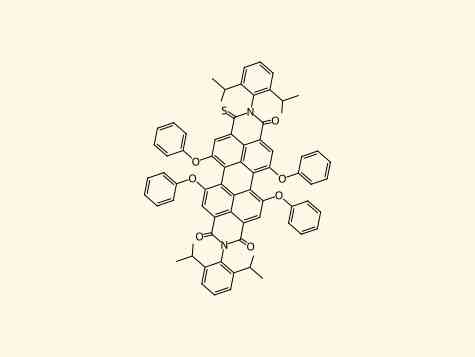 CC(C)c1cccc(C(C)C)c1N1C(=O)c2cc(Oc3ccccc3)c3c4c(Oc5ccccc5)cc5c6c(cc(Oc7ccccc7)c(c7c(Oc8ccccc8)cc(c2c37)C1=O)c64)C(=S)N(c1c(C(C)C)cccc1C(C)C)C5=O